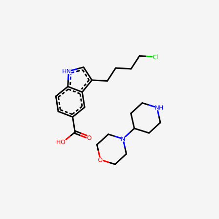 C1CC(N2CCOCC2)CCN1.O=C(O)c1ccc2[nH]cc(CCCCCl)c2c1